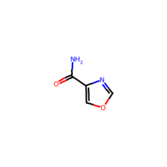 NC(=O)c1cocn1